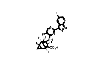 O=C(O)[C@@H]1[C@@H](Nc2nc(-c3n[nH]c4ncc(F)cc34)ncc2F)[C@@H]2CC[C@H]1C1C[C@@H]12